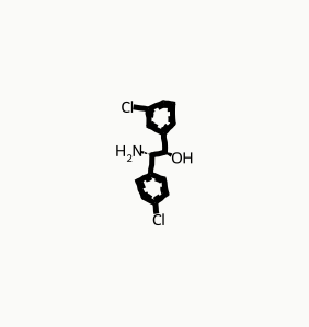 N[C@@H](c1ccc(Cl)cc1)[C@H](O)c1cccc(Cl)c1